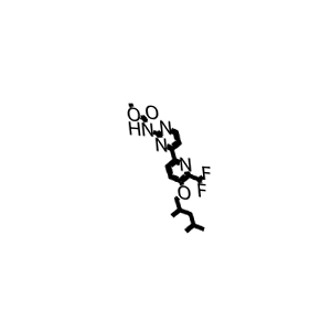 COC(=O)Nc1nccc(-c2ccc(OCC(C)CC(C)C)c(C(F)F)n2)n1